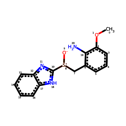 COc1cccc(C[S+]([O-])c2nc3ccccc3[nH]2)c1N